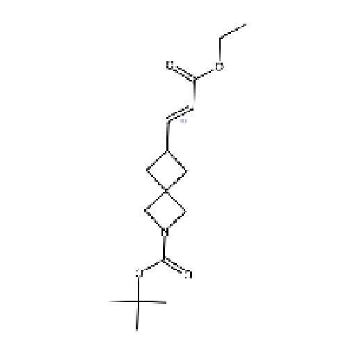 CCOC(=O)/C=C/C1CC2(C1)CN(C(=O)OC(C)(C)C)C2